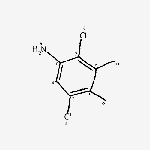 Cc1c(Cl)cc(N)c(Cl)c1C